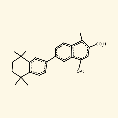 CC(=O)Oc1cc(C(=O)O)c(C)c2ccc(-c3ccc4c(c3)C(C)(C)CCC4(C)C)cc12